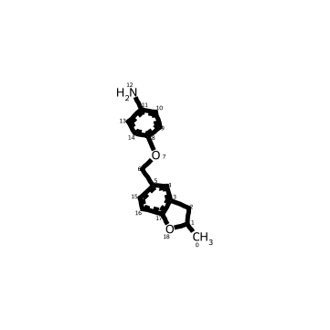 CC1Cc2cc(COc3ccc(N)cc3)ccc2O1